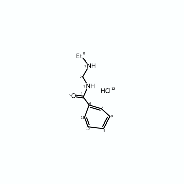 CCNCNC(=O)c1ccccc1.Cl